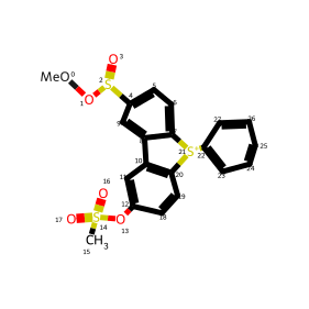 COOS(=O)c1ccc2c(c1)c1cc(OS(C)(=O)=O)ccc1[s+]2-c1ccccc1